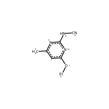 CCOc1cc(C)nc(NC#N)n1